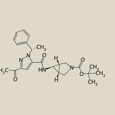 CC(=O)c1cc(C(=O)N[C@H]2[C@@H]3CN(C(=O)OC(C)(C)C)C[C@@H]32)n([C@@H](C)c2ccccc2)n1